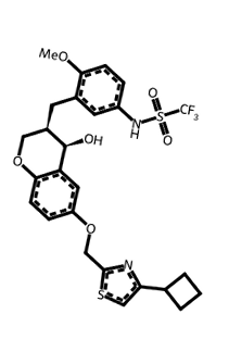 COc1ccc(NS(=O)(=O)C(F)(F)F)cc1C[C@@H]1COc2ccc(OCc3nc(C4CCC4)cs3)cc2[C@@H]1O